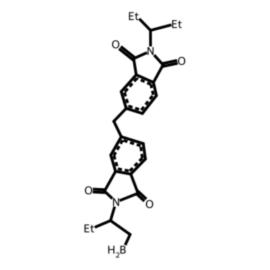 BCC(CC)N1C(=O)c2ccc(Cc3ccc4c(c3)C(=O)N(C(CC)CC)C4=O)cc2C1=O